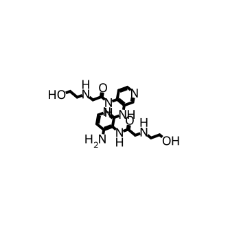 Nc1ccnc(Nc2cnccc2NC(=O)CNCCO)c1NC(=O)CNCCO